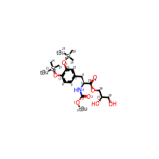 CC(C)(C)OC(=O)N[C@@H](Cc1ccc(O[Si](C)(C)C(C)(C)C)c(O[Si](C)(C)C(C)(C)C)c1)C(=O)OCC(O)CO